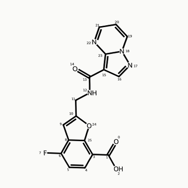 O=C(O)c1ccc(F)c2cc(CNC(=O)c3cnn4cccnc34)oc12